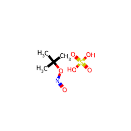 CC(C)(C)ON=O.O=S(=O)(O)O